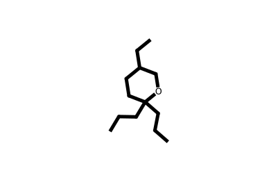 CCCC1(CCC)CCC(CC)CO1